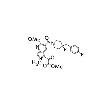 COC(=O)C(=O)c1c2cc(C(=O)N3CCC(F)(Cc4ccc(F)cc4)CC3)c(OC)nc2cn1C